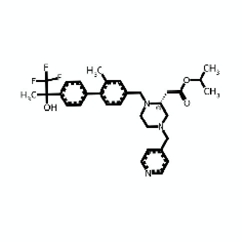 Cc1cc(CN2CCN(Cc3ccncc3)C[C@H]2CC(=O)OC(C)C)ccc1-c1ccc(C(C)(O)C(F)(F)F)cc1